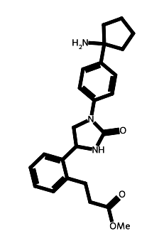 COC(=O)CCc1ccccc1C1CN(c2ccc(C3(N)CCCC3)cc2)C(=O)N1